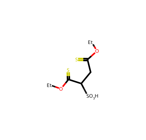 CCOC(=S)CC(C(=S)OCC)S(=O)(=O)O